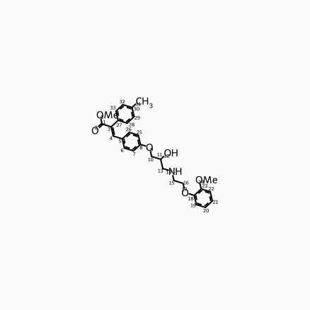 COC(=O)C(=Cc1ccc(OCC(O)CNCCOc2ccccc2OC)cc1)c1ccc(C)cc1